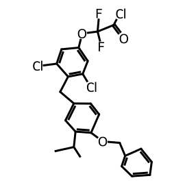 CC(C)c1cc(Cc2c(Cl)cc(OC(F)(F)C(=O)Cl)cc2Cl)ccc1OCc1ccccc1